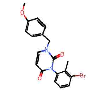 COc1ccc(Cn2ccc(=O)n(-c3cccc(Br)c3C)c2=O)cc1